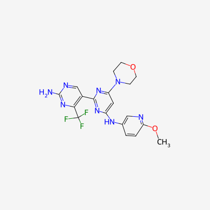 COc1ccc(Nc2cc(N3CCOCC3)nc(-c3cnc(N)nc3C(F)(F)F)n2)cn1